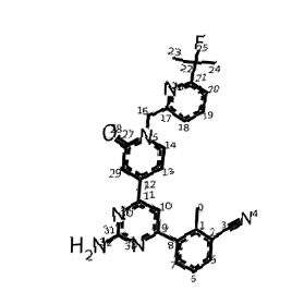 Cc1c(C#N)cccc1-c1cc(-c2ccn(Cc3cccc(C(C)(C)F)n3)c(=O)c2)nc(N)n1